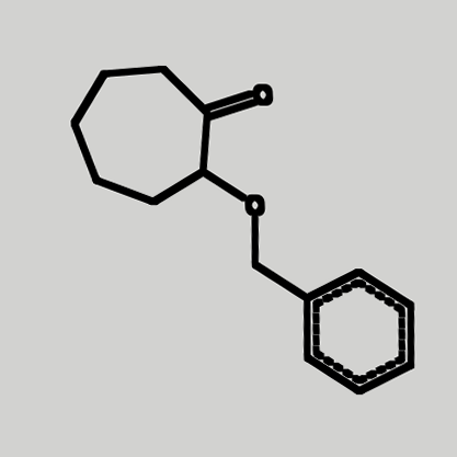 O=C1CCCCCC1OCc1ccccc1